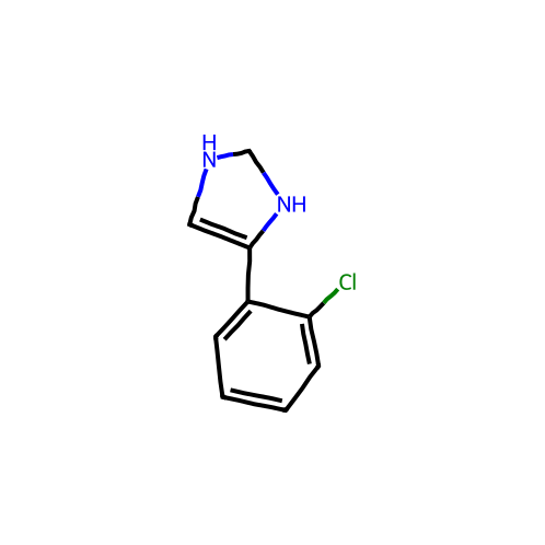 Clc1ccccc1C1=CNCN1